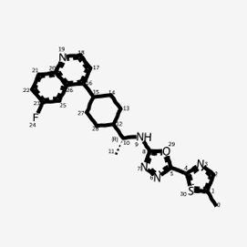 Cc1cnc(-c2nnc(N[C@H](C)C3CCC(c4ccnc5ccc(F)cc45)CC3)o2)s1